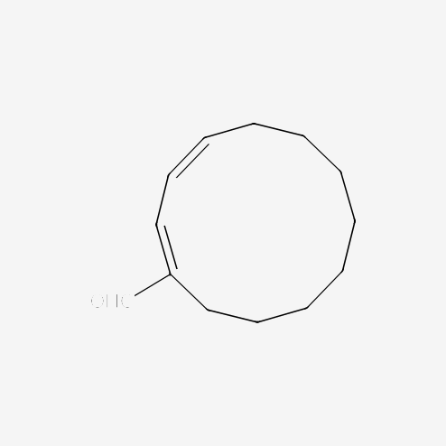 O=CC1=CC=CCCCCCCCC1